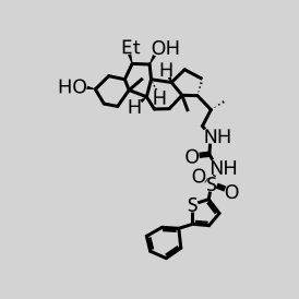 CC[C@@H]1C2C[C@H](O)CCC2(C)[C@H]2CCC3(C)[C@@H]([C@H](C)CNC(=O)NS(=O)(=O)c4ccc(-c5ccccc5)s4)CC[C@H]3[C@@H]2[C@@H]1O